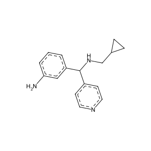 Nc1cccc(C(NCC2CC2)c2ccncc2)c1